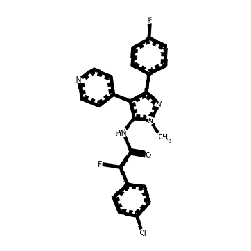 Cn1nc(-c2ccc(F)cc2)c(-c2ccncc2)c1NC(=O)C(F)c1ccc(Cl)cc1